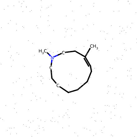 C/C1=C/CCCCCCCN(C)CC1